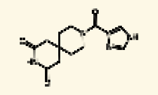 O=C1CC2(CCN(C(=O)c3c[nH]cn3)CC2)CC(=O)N1